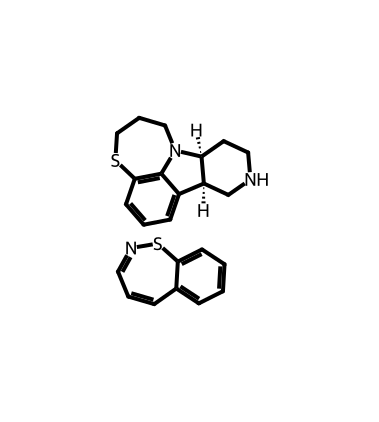 C1=Cc2ccccc2SN=C1.c1cc2c3c(c1)[C@@H]1CNCC[C@@H]1N3CCCS2